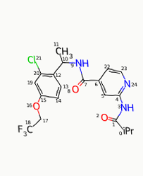 CC(C)C(=O)Nc1cc(C(=O)NC(C)c2ccc(OCC(F)(F)F)cc2Cl)ccn1